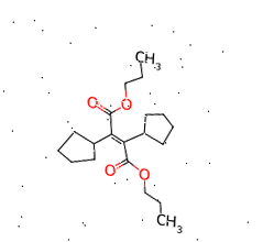 CCCOC(=O)C(=C(C(=O)OCCC)C1CCCC1)C1CCCC1